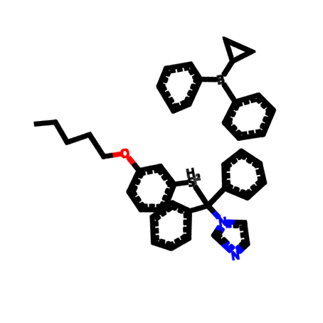 CCCCCOc1cccc([SiH2]C(c2ccccc2)(c2ccccc2)n2ccnc2)c1.c1ccc(B(c2ccccc2)C2CC2)cc1